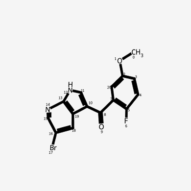 COc1ccc(F)c(C(=O)c2c[nH]c3ncc(Br)cc23)c1